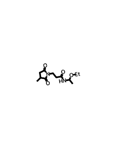 CCOC(C)NC(=O)CCN1C(=O)CC(C)C1=O